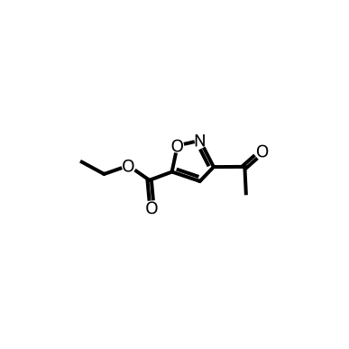 CCOC(=O)c1cc(C(C)=O)no1